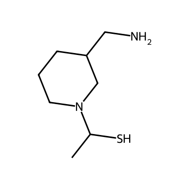 CC(S)N1CCCC(CN)C1